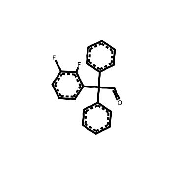 O=CC(c1ccccc1)(c1ccccc1)c1cccc(F)c1F